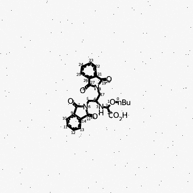 CCCCOC(NC(CN1C(=O)c2ccccc2C1=O)CN1C(=O)c2ccccc2C1=O)C(=O)O